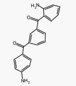 Nc1ccc(C(=O)c2cccc(C(=O)c3ccccc3N)c2)cc1